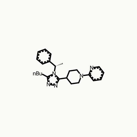 CCCCc1nnc(C2CCN(c3ccccn3)CC2)n1[C@@H](C)c1ccccc1